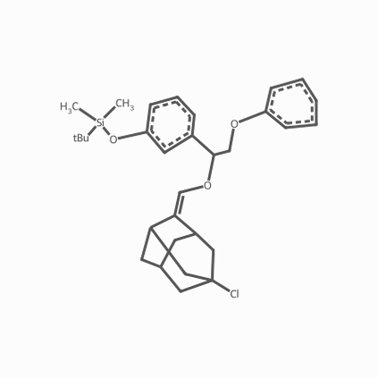 CC(C)(C)[Si](C)(C)Oc1cccc(C(COc2ccccc2)OC=C2C3CC4CC2CC(Cl)(C4)C3)c1